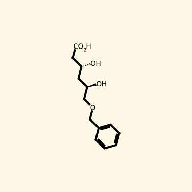 O=C(O)C[C@H](O)C[C@@H](O)COCc1ccccc1